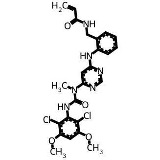 C=CC(=O)NCc1ccccc1Nc1cc(N(C)C(=O)Nc2c(Cl)c(OC)cc(OC)c2Cl)ncn1